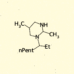 CCCCCC(CC)N1CC(C)CNC1C